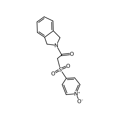 O=C(CS(=O)(=O)c1cc[n+]([O-])cc1)N1Cc2ccccc2C1